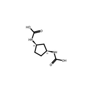 O=C(O)N[C@@H]1CC[C@H](NC(=O)O)C1